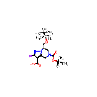 CC(C)(C)OC(=O)N1Cc2c(C(=O)O)c(I)nn2C(CO[Si](C)(C)C(C)(C)C)C1